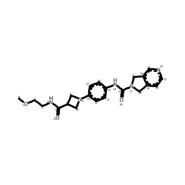 COCCNC(=O)C1CN(c2ccc(NC(=O)N3Cc4ccncc4C3)cc2)C1